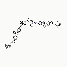 CC(COC(=O)/C=C/c1ccc(OC(=O)c2ccc(OCCCC(F)(F)F)cc2)cc1)COC(=O)/C=C/c1ccc(OC(=O)c2ccc(OCCCC(F)(F)F)cc2)cc1